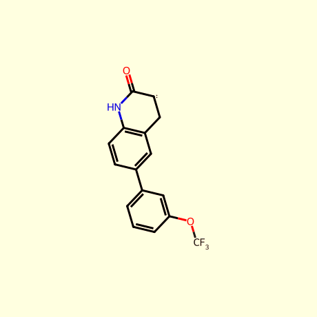 O=C1[C]Cc2cc(-c3cccc(OC(F)(F)F)c3)ccc2N1